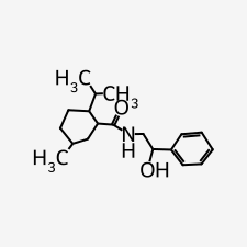 CC1CCC(C(C)C)C(C(=O)NCC(O)c2ccccc2)C1